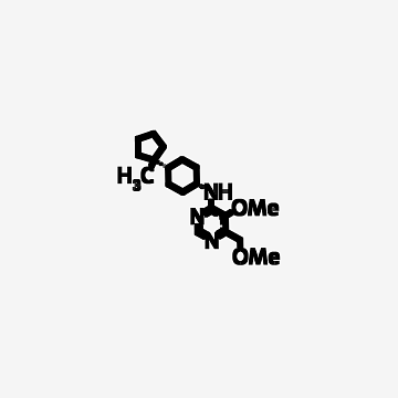 COCc1ncnc(N[C@H]2CC[C@@H](C3(C)CCCC3)CC2)c1OC